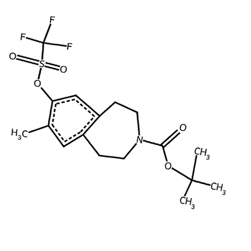 Cc1cc2c(cc1OS(=O)(=O)C(F)(F)F)CCN(C(=O)OC(C)(C)C)CC2